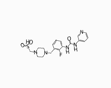 O=C(Nc1cccnc1)Nc1cccc(CN2CCN(C[SH](=O)=O)CC2)c1F